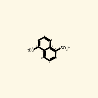 CC(C)(C)c1cccc2c(S(=O)(=O)O)cccc12